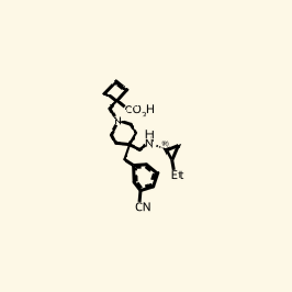 CCC1C[C@H]1NCC1(Cc2cccc(C#N)c2)CCN(CC2(C(=O)O)CCC2)CC1